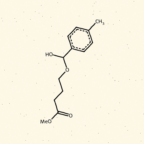 COC(=O)CCCOC(O)c1ccc(C)cc1